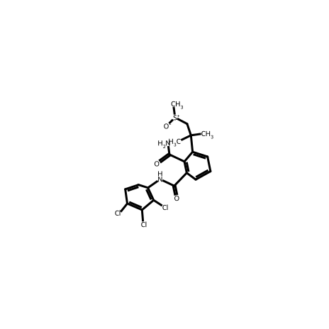 C[S+]([O-])CC(C)(C)c1cccc(C(=O)Nc2ccc(Cl)c(Cl)c2Cl)c1C(N)=O